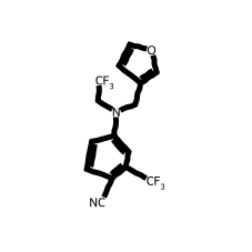 N#Cc1ccc(N(Cc2ccoc2)CC(F)(F)F)cc1C(F)(F)F